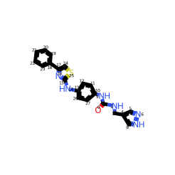 O=C(NCc1cn[nH]c1)Nc1ccc(Nc2nc(-c3ccccc3)cs2)cc1